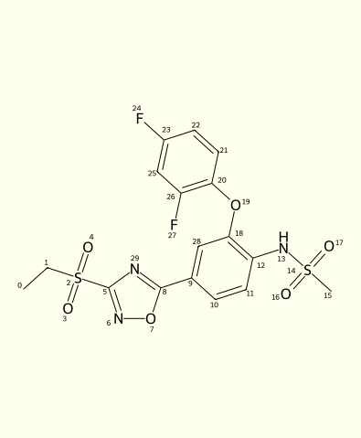 CCS(=O)(=O)c1noc(-c2ccc(NS(C)(=O)=O)c(Oc3ccc(F)cc3F)c2)n1